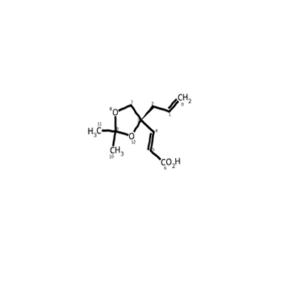 C=CC[C@]1(C=CC(=O)O)COC(C)(C)O1